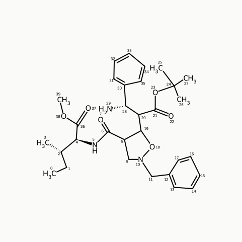 CC[C@H](C)[C@H](NC(=O)C1CN(Cc2ccccc2)OC1C(C(=O)OC(C)(C)C)[C@H](N)c1ccccc1)C(=O)OC